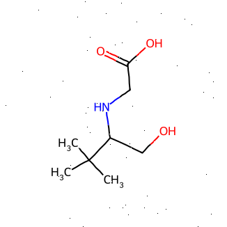 CC(C)(C)C(CO)NCC(=O)O